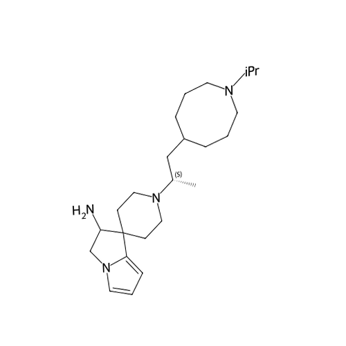 CC(C)N1CCCC(C[C@H](C)N2CCC3(CC2)c2cccn2CC3N)CCC1